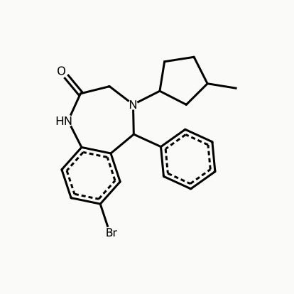 CC1CCC(N2CC(=O)Nc3ccc(Br)cc3C2c2ccccc2)C1